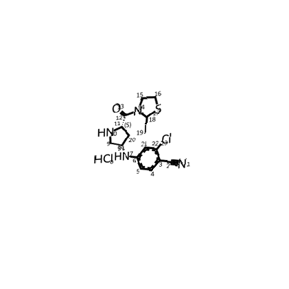 Cl.N#Cc1ccc(N[C@@H]2CN[C@H](C(=O)N3CCSC3I)C2)cc1Cl